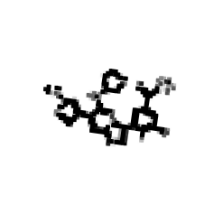 CNC(=O)c1cc(F)c(F)c(-c2cnc3cc(-c4cnn(C)c4)c(N[C@H]4CCOC4)nn23)c1